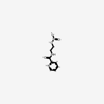 O=C(NCCO[N+](=O)[O-])c1ccccn1